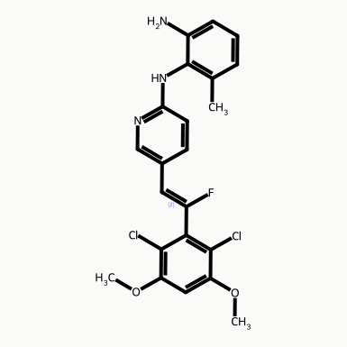 COc1cc(OC)c(Cl)c(/C(F)=C/c2ccc(Nc3c(C)cccc3N)nc2)c1Cl